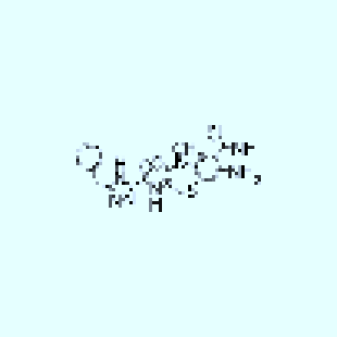 CN1C(=O)[C@@H](NC(=O)c2nnc(Cc3ccccc3)[nH]2)CSc2cc(N)c(C(=N)Cl)cc21